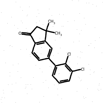 CC1(C)CC(=O)c2ccc(-c3cccc(Cl)c3Cl)cc21